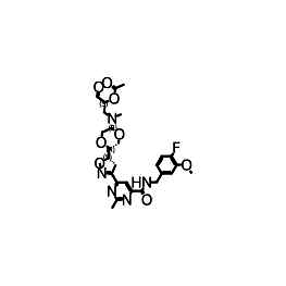 COc1cc(CNC(=O)c2cc(C3=NO[C@H]([C@H]4CO[C@@H](N(C)C[C@@H](C=O)OC(C)=O)CO4)C3)nc(C)n2)ccc1F